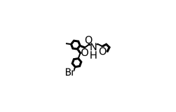 Cc1ccc2c(C(=O)NCc3ccco3)oc(-c3ccc(Br)cc3)c2c1